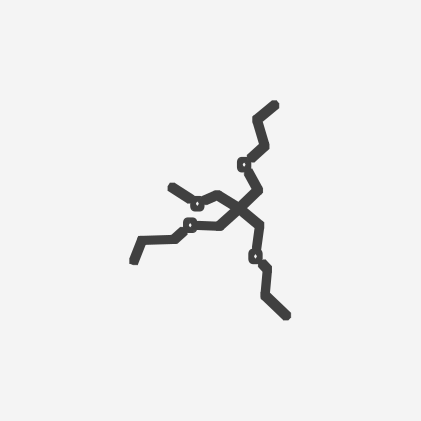 CCCOCC(COC)(COCCC)COCCC